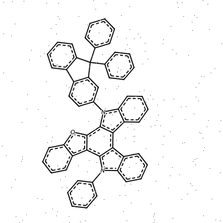 c1ccc(-n2c3ccccc3c3c4c5ccccc5n(-c5ccc6c(c5)C(c5ccccc5)(c5ccccc5)c5ccccc5-6)c4c4oc5ccccc5c4c32)cc1